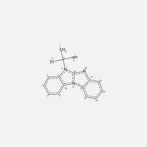 CCCC(C)(CC)n1c2ccccc2n2c3ccccc3nc12